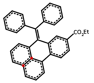 CCOC(=O)c1ccc(-c2ccccc2)c(C(=C(c2ccccc2)c2ccccc2)c2ccccc2)c1